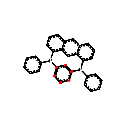 C1=CCCC(P(c2ccccc2)c2cccc3cc4cccc(P(c5ccccc5)c5ccccc5)c4cc23)=C1